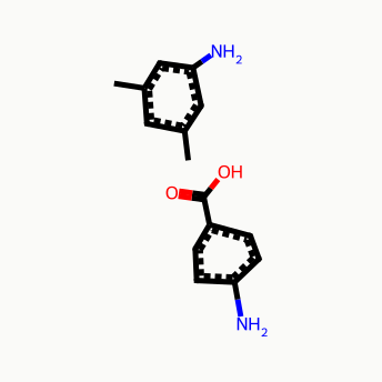 Cc1cc(C)cc(N)c1.Nc1ccc(C(=O)O)cc1